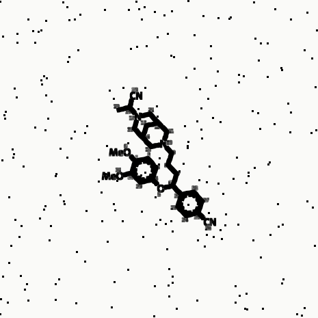 COc1ccc(OC(CCCN2CC3CC(C2)CN(C(C)C#N)C3)c2ccc(C#N)cc2)cc1OC